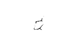 OC1CNCC(O)O1